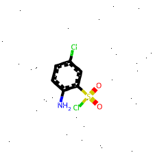 Nc1ccc(Cl)cc1S(=O)(=O)Cl